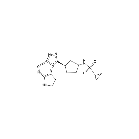 O=S(=O)(N[C@@H]1CC[C@@H](c2nnc3cnc4c(n23)CCN4)C1)C1CC1